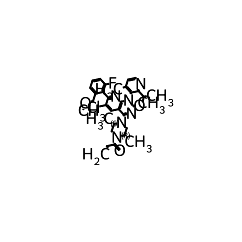 C=CC(=O)N1C[C@H](C)N(c2nc(=O)n(-c3c(C)ccnc3C(C)C)c3nc(-c4c(F)cccc4COC)c(Cl)cc23)C[C@H]1C